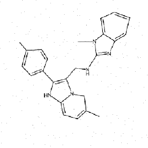 CC1=CC=C2NC(c3ccc(C)cc3)=C(CNc3nc4ccccc4n3C)N2C1